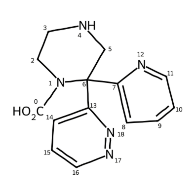 O=C(O)N1CCNCC1(c1ccccn1)c1cccnn1